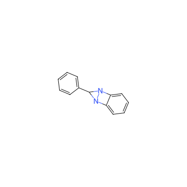 c1ccc(C2n3c4ccccc4n32)cc1